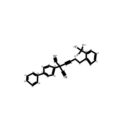 N#CC(C#N)(C#CCCc1ccccc1C(F)(F)F)c1ccc(-c2ccccc2)cc1